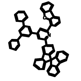 c1ccc(-c2cc(-c3ccccc3)cc(-c3cc(-c4ccc5c(c4)-c4ccccc4C54c5ccccc5-c5ccccc54)nc(-c4cccc5c4oc4ccccc45)c3)c2)cc1